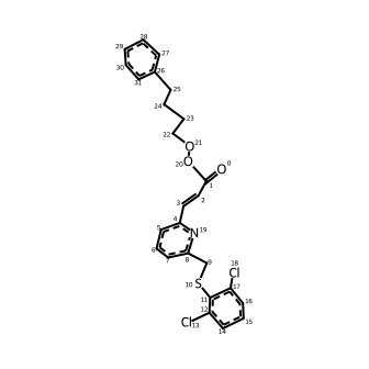 O=C(C=Cc1cccc(CSc2c(Cl)cccc2Cl)n1)OOCCCCc1ccccc1